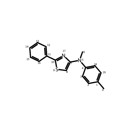 Cc1ccc(N(C)c2csc(-c3ccccc3)n2)cc1